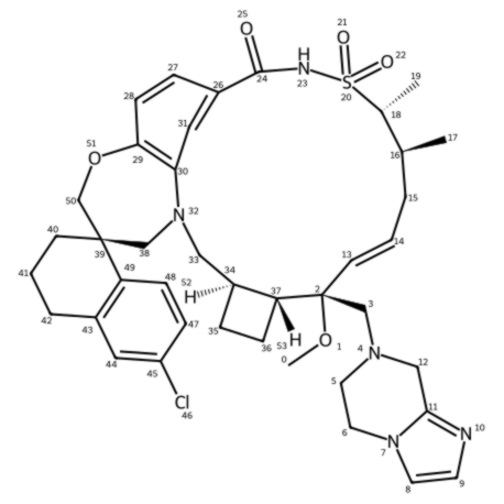 CO[C@@]1(CN2CCn3ccnc3C2)/C=C/C[C@H](C)[C@@H](C)S(=O)(=O)NC(=O)c2ccc3c(c2)N(C[C@@H]2CC[C@H]21)C[C@@]1(CCCc2cc(Cl)ccc21)CO3